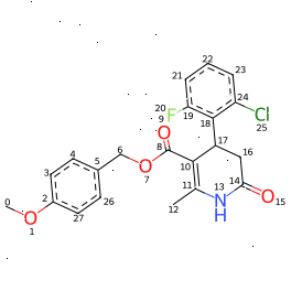 COc1ccc(COC(=O)C2=C(C)NC(=O)CC2c2c(F)cccc2Cl)cc1